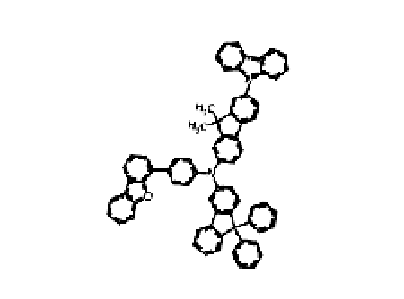 CC1(C)c2cc(N(c3ccc(-c4cccc5c4oc4ccccc45)cc3)c3ccc4c(c3)-c3ccccc3C4(c3ccccc3)c3ccccc3)ccc2-c2ccc(-n3c4ccccc4c4ccccc43)cc21